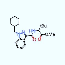 COC(=O)[C@@H](NC(=O)c1nn(CC2CCCCC2)c2ccccc12)C(C)(C)C